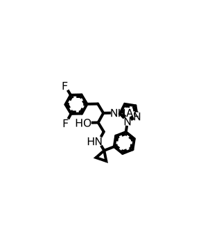 CC(=O)NC(Cc1cc(F)cc(F)c1)C(O)CNC1(c2cccc(-n3cccn3)c2)CC1